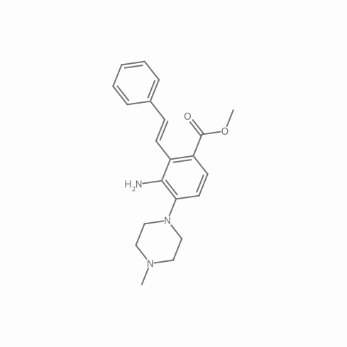 COC(=O)c1ccc(N2CCN(C)CC2)c(N)c1C=Cc1ccccc1